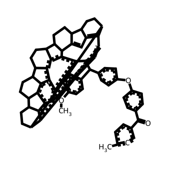 COc1ccc(C(c2ccc(Oc3ccc(C(=O)c4ccc(C)cc4)cc3)cc2)C2c3c4c5c6c7c8c9c%10c%11c%12c(c2c%10c37)C2C3=CC7=C4C4CCC7C3CCC2C%12CCC%11C9CCC8C6CCC54)cc1